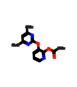 COC(=O)Oc1ncccc1Oc1nc(OC)cc(OC)n1